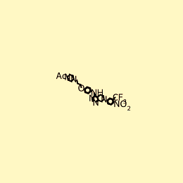 CC(=O)N1CCN(CCCOc2ccc(Nc3ncnc4c3CCN(c3ccc([N+](=O)[O-])c(C(F)(F)F)c3)C4)cc2)CC1